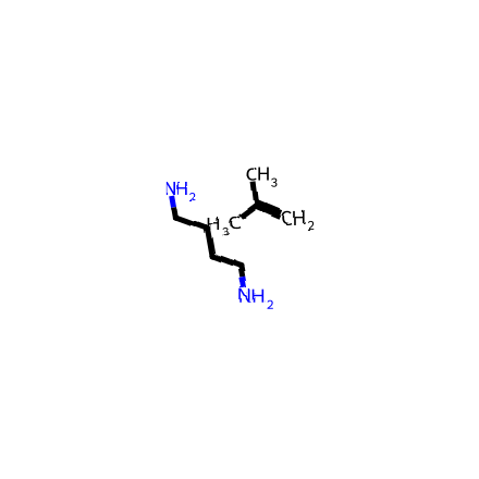 C=C(C)C.NCCCCN